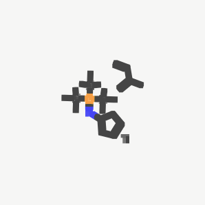 C=CC(=C)C.C[Si](C)(C)P(=NC1=CC=CC1)([Si](C)(C)C)[Si](C)(C)C.[Ti]